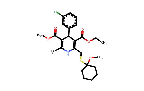 CCOC(=O)C1=C(CSC2(OC)CCCCC2)NC(C)=C(C(=O)OC)C1c1cccc(Cl)c1